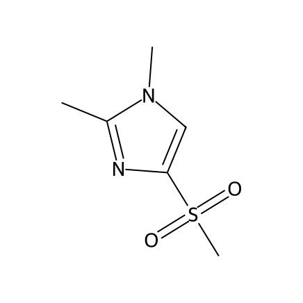 Cc1nc(S(C)(=O)=O)cn1C